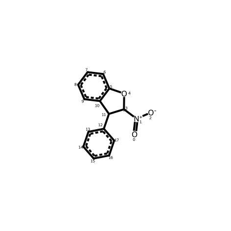 O=[N+]([O-])[C]1Oc2ccccc2C1c1ccccc1